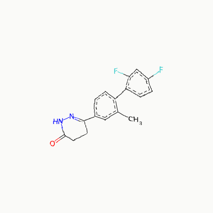 Cc1cc(C2=NNC(=O)CC2)ccc1-c1ccc(F)cc1F